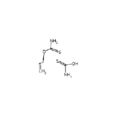 C=CCOC(N)=S.NC(O)=S